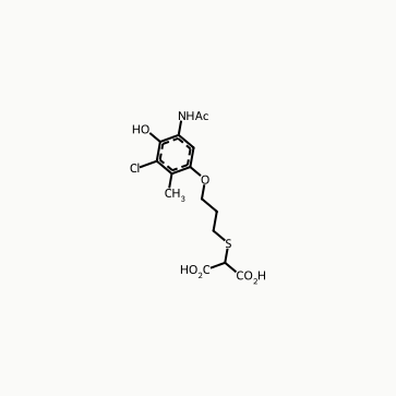 CC(=O)Nc1cc(OCCCSC(C(=O)O)C(=O)O)c(C)c(Cl)c1O